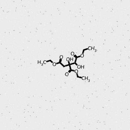 CCOC(=O)CC(O)(C(=O)OCC)C(O)C(=O)OCC